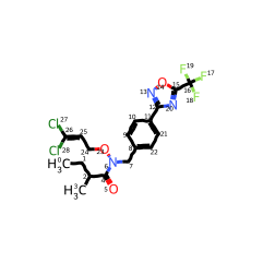 CCC(C)C(=O)N(Cc1ccc(-c2noc(C(F)(F)F)n2)cc1)OCC=C(Cl)Cl